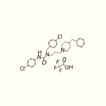 O=C(Nc1ccc(Cl)cc1)N(CCCN1CCC(Cc2ccccc2)CC1)Cc1ccc(Cl)cc1.O=C(O)C(F)(F)F